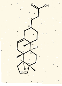 C[C@@]12C=CC[C@H]1[C@@H]1CC=C3C[C@@H](CCC(=O)O)CC[C@]3(C)[C@H]1CC2